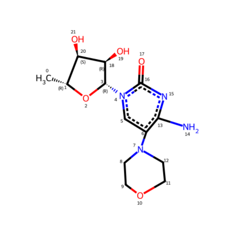 C[C@H]1O[C@@H](n2cc(N3CCOCC3)c(N)nc2=O)[C@H](O)[C@@H]1O